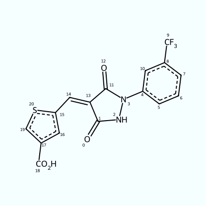 O=C1NN(c2cccc(C(F)(F)F)c2)C(=O)/C1=C/c1cc(C(=O)O)cs1